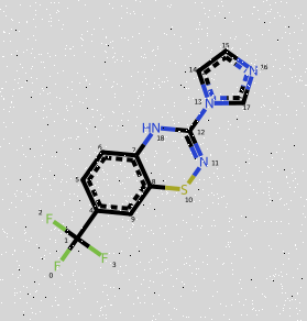 FC(F)(F)c1ccc2c(c1)SN=C(n1ccnc1)N2